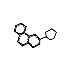 c1ccc2c(c1)ccc1ccc(C3CCCCC3)cc12